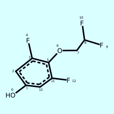 Oc1cc(F)c(OCC(F)F)c(F)c1